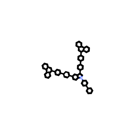 C1=CC(c2ccc(-c3cc4ccccc4c4ccccc34)cc2)CC=C1c1ccc2c(c1)c(-c1ccc(-c3ccc(-c4cc5ccccc5c5ccccc45)cc3)cc1)cn2-c1ccc(-c2ccccc2)cc1